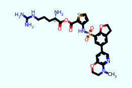 CN1CCOc2cc(-c3cc4c(c(S(=O)(=O)Nc5ccsc5C(=O)OC(=O)[C@@H](N)CCCNC(N)N)c3)OCC4)cnc21